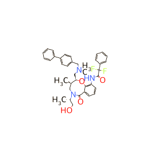 C[C@@H]1CN([C@@H](C)CO)C(=O)c2cccc(NC(=O)C(F)(F)c3ccccc3)c2O[C@@H]1CN(C)Cc1ccc(-c2ccccc2)cc1